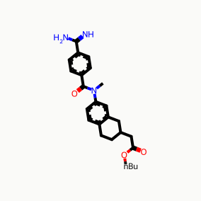 CCCCOC(=O)CC1CCc2ccc(N(C)C(=O)c3ccc(C(=N)N)cc3)cc2C1